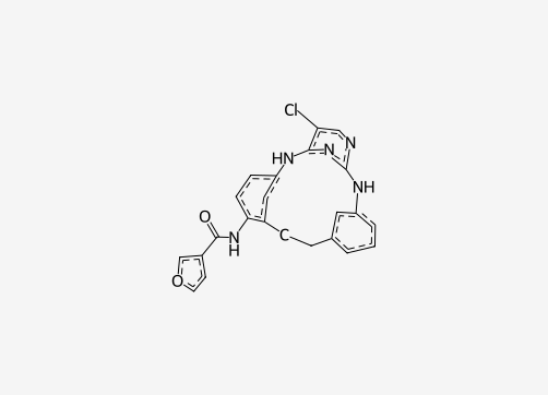 O=C(Nc1ccc2cc1CCc1cccc(c1)Nc1ncc(Cl)c(n1)N2)c1ccoc1